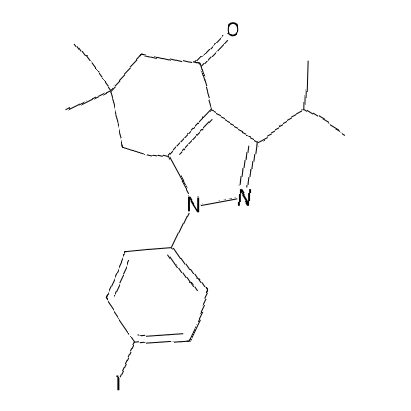 CC(C)c1nn(-c2ccc(I)cc2)c2c1C(=O)CC(C)(C)C2